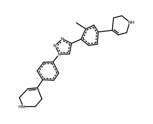 Cc1cc(C2=CCNCC2)ccc1-c1cn(-c2ccc(C3=CCNCC3)cc2)nn1